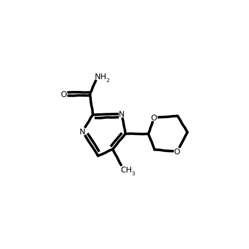 Cc1cnc(C(N)=O)nc1C1COCCO1